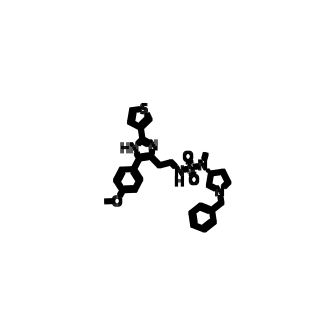 COc1ccc(-c2[nH]c(-c3ccsc3)nc2CCNS(=O)(=O)N(C)[C@@H]2CCN(Cc3ccccc3)C2)cc1